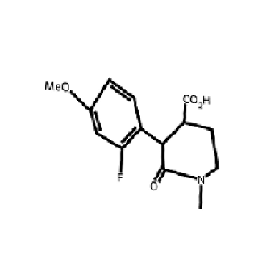 COc1ccc(C2C(=O)N(C)CCC2C(=O)O)c(F)c1